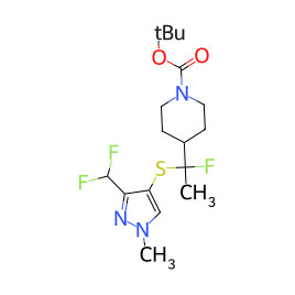 Cn1cc(SC(C)(F)C2CCN(C(=O)OC(C)(C)C)CC2)c(C(F)F)n1